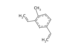 C=Cc1[c]c(C=C)c(C)cc1